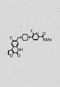 CNC(=O)c1ccc(N2CCN(Cc3cc4[nH]c(=O)c5occc5c4cc3F)CC2)c(F)n1